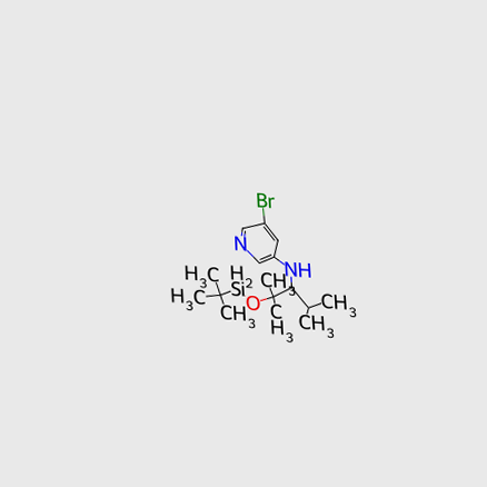 CC(C)C(Nc1cncc(Br)c1)C(C)(C)O[SiH2]C(C)(C)C